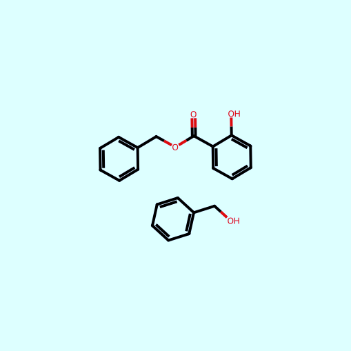 O=C(OCc1ccccc1)c1ccccc1O.OCc1ccccc1